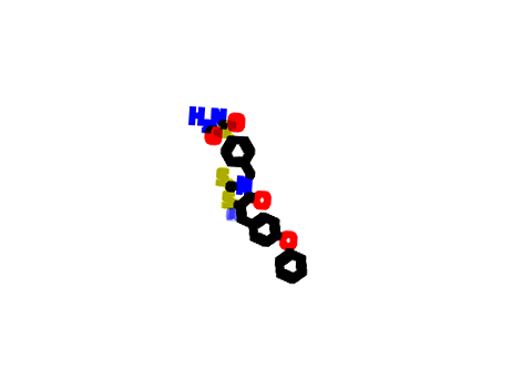 NS(=O)(=O)c1ccc(CN2C(=O)/C(=C\c3ccc(Oc4ccccc4)cc3)SC2=S)cc1